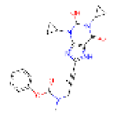 CN(CC#Cc1nc2c([nH]1)C(=O)N(C1CC1)C(O)N2C1CC1)C(=O)Oc1ccccc1